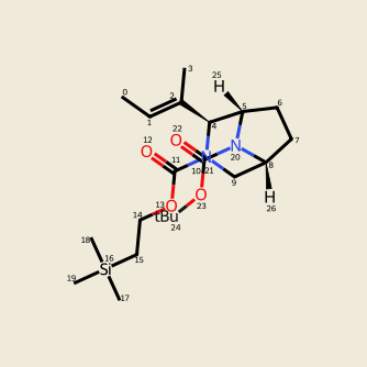 CC=C(C)[C@H]1[C@@H]2CC[C@H](CN1C(=O)OCC[Si](C)(C)C)N2C(=O)OC(C)(C)C